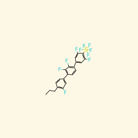 CCCc1ccc(-c2ccc(-c3cc(F)c(S(F)(F)(F)(F)F)c(F)c3)c(F)c2F)cc1F